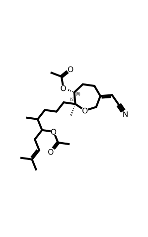 CC(=O)OC(CC=C(C)C)C(C)CCC[C@]1(C)OCC(=CC#N)CC[C@H]1OC(C)=O